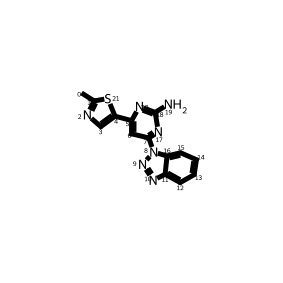 Cc1ncc(-c2cc(-n3nnc4ccccc43)nc(N)n2)s1